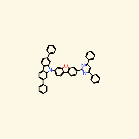 c1ccc(-c2ccc3c4ccc(-c5ccccc5)cc4n(-c4ccc5c(c4)oc4cc(-c6nc(-c7ccccc7)cc(-c7ccccc7)n6)ccc45)c3c2)cc1